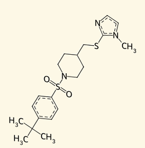 Cn1ccnc1SCC1CCN(S(=O)(=O)c2ccc(C(C)(C)C)cc2)CC1